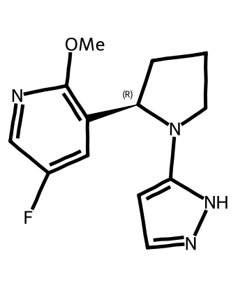 COc1ncc(F)cc1[C@H]1CCCN1c1ccn[nH]1